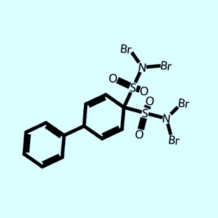 O=S(=O)(N(Br)Br)C1(S(=O)(=O)N(Br)Br)C=CC(c2ccccc2)C=C1